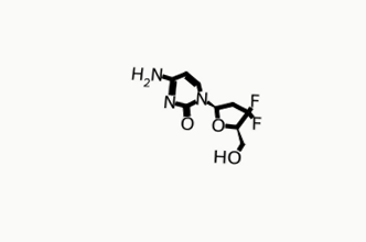 Nc1ccn([C@H]2CC(F)(F)[C@@H](CO)O2)c(=O)n1